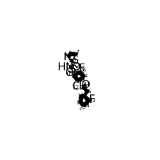 O=S(=O)(Nc1nccs1)c1cc(Cl)c(OCCc2ccccc2F)cc1F